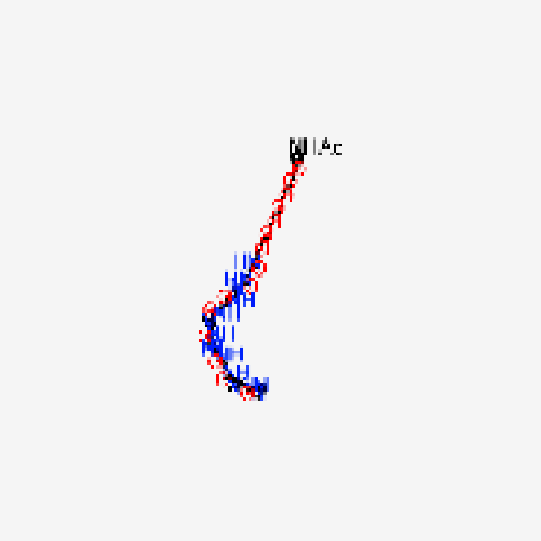 CC(=O)Nc1ccc(OCCOCCOCCOCCOCCOCCOCCNC(=O)CCNC(=O)c2nc(NC(=O)CCNC(=O)c3cc(NC(=O)c4nc(NC(=O)CCNC(=O)c5cc(NC(=O)c6nccn6C)cn5C)cn4C)cn3C)cn2C)cc1